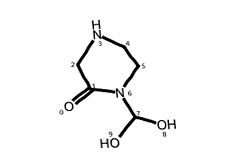 O=C1CNCCN1C(O)O